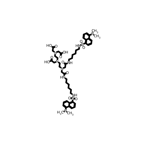 CN(C)c1cccc2c(S(=O)(=O)NCCCCCCNC(=O)CN(CCN(CCN(CC(=O)O)CC(=O)O)CC(=O)O)CC(=O)NCCCCCCNS(=O)(=O)c3cccc4c(N(C)C)cccc34)cccc12